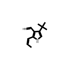 C/C=C\c1[nH]cc(C(C)(C)C)c1C=N